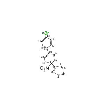 O=[N+]([O-])C1(c2ccccc2)C=CC(c2ccc(Br)cc2)=CC1